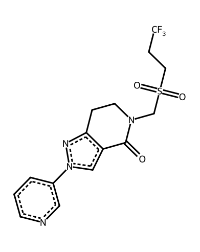 O=C1c2cn(-c3cccnc3)nc2CCN1CS(=O)(=O)CCC(F)(F)F